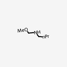 CCCCNCOC